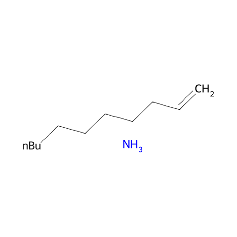 C=CCCCCCCCCC.N